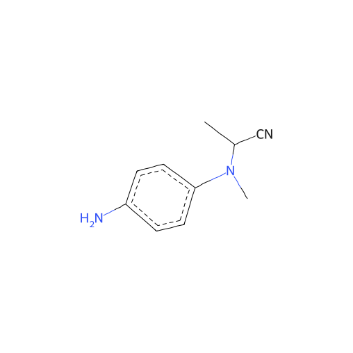 CC(C#N)N(C)c1ccc(N)cc1